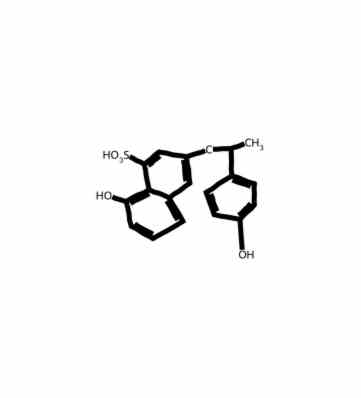 CC(Cc1cc(S(=O)(=O)O)c2c(O)cccc2c1)c1ccc(O)cc1